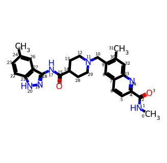 CNC(=O)c1ccc2cc(CN3CCC(C(=O)Nc4n[nH]c5ccc(C)cc45)CC3)c(C)cc2n1